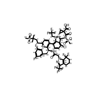 CC(C)(CCc1ccc(-c2ccc(Cl)c3c(N(C(=O)C4(C(=O)O)CC4)S(C)(=O)=O)nn(CC(F)(F)F)c23)c([C@H](Cc2cc(F)cc(F)c2)NC(=O)Cn2nc(C(F)(F)F)c3c2C(F)(F)CCC3)n1)S(C)(=O)=O